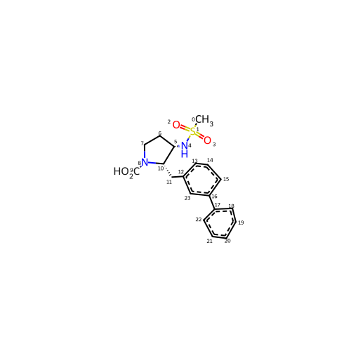 CS(=O)(=O)N[C@H]1CCN(C(=O)O)[C@H]1Cc1cccc(-c2ccccc2)c1